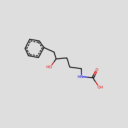 O=C(O)NCCCC(O)Cc1ccccc1